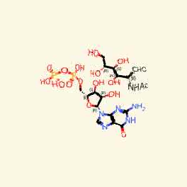 CC(=O)N[C@@H](C=O)[C@@H](O)[C@H](O)[C@H](O)CO.Nc1nc2c(ncn2[C@@H]2O[C@H](COP(=O)(O)OP(=O)(O)O)[C@@H](O)[C@H]2O)c(=O)[nH]1